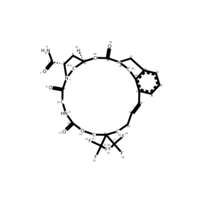 NC(=O)[C@@H]1C[C@@H]2CN1C(=O)CNC(=O)OCC(C(F)(F)F)(C(F)(F)F)CC/C=C/c1cccc3c1CN(C3)C(=O)O2